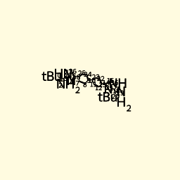 CC(C)(C)C(N)c1nc(-c2ccc(-c3ccc(-c4c[nH]c(C(N)C(C)(C)C)n4)cc3)cc2)c[nH]1